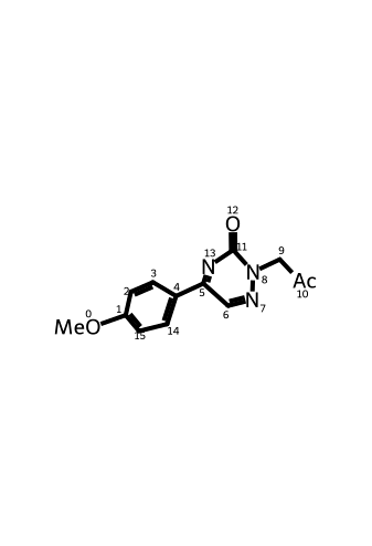 COc1ccc(-c2cnn(CC(C)=O)c(=O)n2)cc1